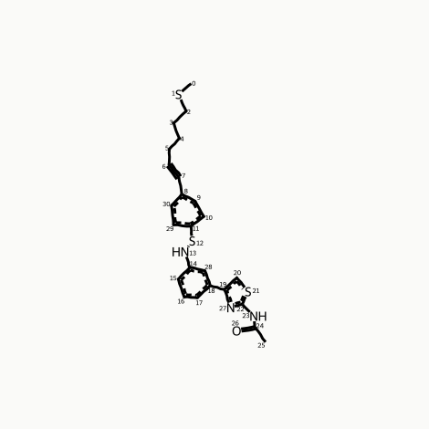 CSCCCCC#Cc1ccc(SNc2cccc(-c3csc(NC(C)=O)n3)c2)cc1